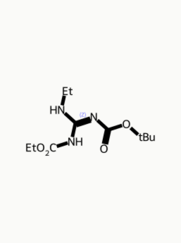 CCN/C(=N/C(=O)OC(C)(C)C)NC(=O)OCC